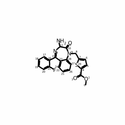 COC(=O)c1ccc(CN2C(=O)C(N)N=C(c3ccccc3F)c3ccccc32)s1